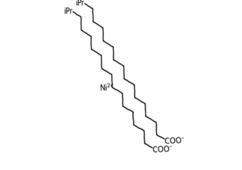 CC(C)CCCCCCCCCCCCCCC(=O)[O-].CC(C)CCCCCCCCCCCCCCC(=O)[O-].[Ni+2]